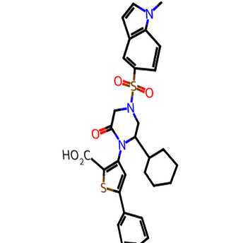 Cn1ccc2cc(S(=O)(=O)N3CC(=O)N(c4cc(-c5ccccc5)sc4C(=O)O)C(C4CCCCC4)C3)ccc21